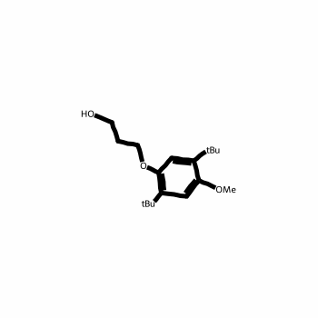 COc1cc(C(C)(C)C)c(OCCCO)cc1C(C)(C)C